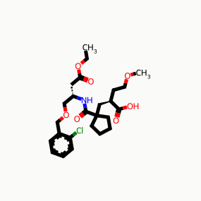 CCOC(=O)C[C@@H](COCc1ccccc1Cl)NC(=O)C1(C[C@@H](CCOC)C(=O)O)CCCC1